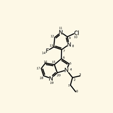 CCC(C)n1cc(-c2nc(Cl)ncc2F)c2cccnc21